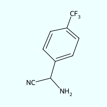 N#CC(N)c1ccc(C(F)(F)F)cc1